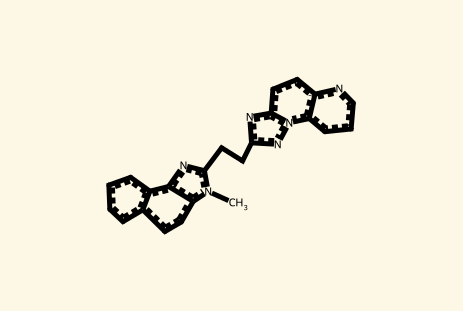 Cn1c(CCc2nc3ccc4ncccc4n3n2)nc2c3ccccc3ccc21